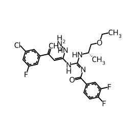 C=C(/C=C(\NN)N/C(=N\C(=O)c1ccc(F)c(F)c1)N[C@@H](C)COCC)c1cc(F)cc(Cl)c1